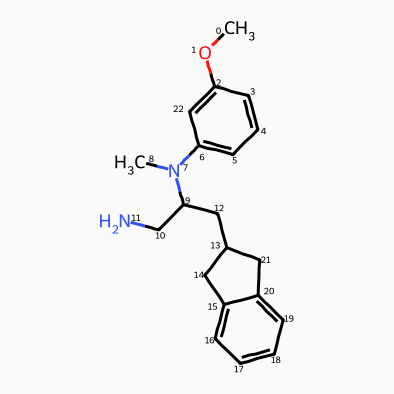 COc1cccc(N(C)C(CN)CC2Cc3ccccc3C2)c1